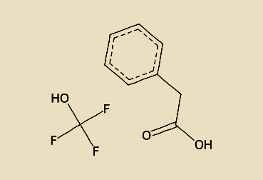 O=C(O)Cc1ccccc1.OC(F)(F)F